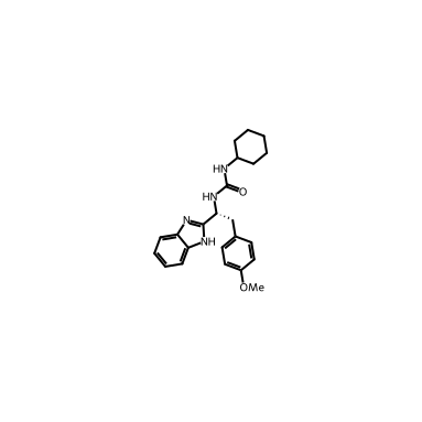 COc1ccc(C[C@@H](NC(=O)NC2CCCCC2)c2nc3ccccc3[nH]2)cc1